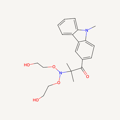 Cn1c2ccccc2c2cc(C(=O)C(C)(C)N(OCCO)OCCO)ccc21